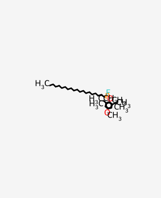 CCCCCCCCCCCCCCCCCCCCP(F)Oc1c(C(C)(C)C)cc(OC)cc1C(C)(C)C